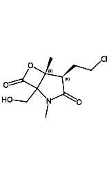 CN1C(=O)[C@H](CCCl)[C@@]2(C)OC(=O)C12CO